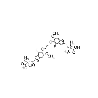 COc1cc2sc(CCC(C)(C)C(=O)O)cc2c(F)c1OCCCOc1c(OC)cc2sc(C(=O)CC(C)(C)C(=O)O)cc2c1F